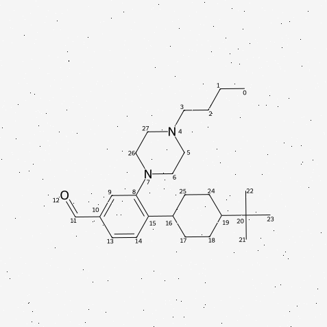 CCCCN1CCN(c2cc(C=O)ccc2C2CCC(C(C)(C)C)CC2)CC1